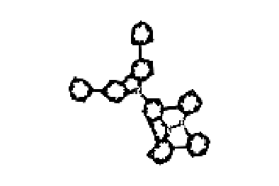 c1ccc(-c2ccc3c(c2)c2cc(-c4ccccc4)ccc2n3-c2cc3c4c(c2)c2cccc5c2n4B(c2ccccc2-5)c2ccccc2-3)cc1